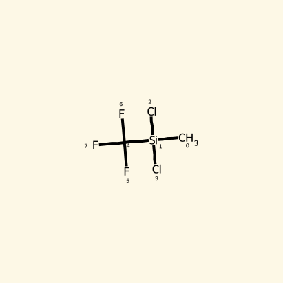 C[Si](Cl)(Cl)C(F)(F)F